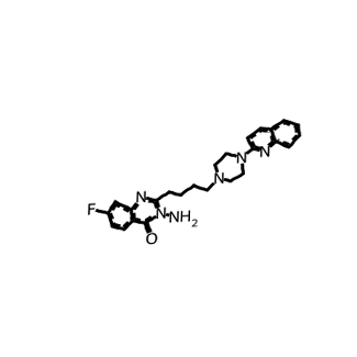 Nn1c(CCCCN2CCN(c3ccc4ccccc4n3)CC2)nc2cc(F)ccc2c1=O